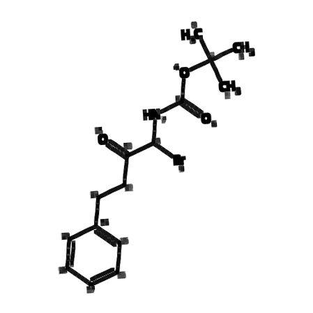 CC(C)(C)OC(=O)NC(Br)C(=O)CCc1ccccc1